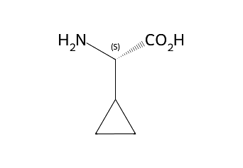 N[C@H](C(=O)O)C1CC1